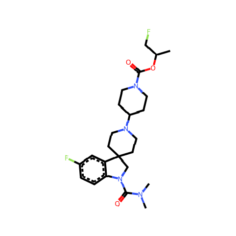 CC(CF)OC(=O)N1CCC(N2CCC3(CC2)CN(C(=O)N(C)C)c2ccc(F)cc23)CC1